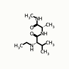 CCN[C@H](C(=O)N[C@@H](C)C(=O)NC)C(C)C